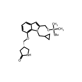 CC(C)(C)[Si](C)(C)OCc1cc2cccc(OC[C@@H]3CNC(=O)C3)c2n1CC1CC1